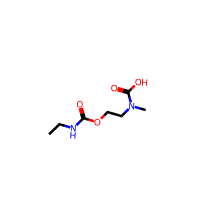 CCNC(=O)OCCN(C)C(=O)O